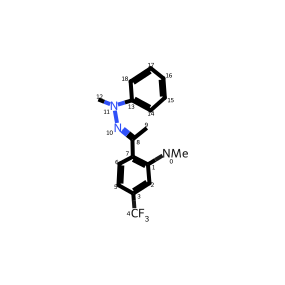 CNc1cc(C(F)(F)F)ccc1/C(C)=N/N(C)c1ccccc1